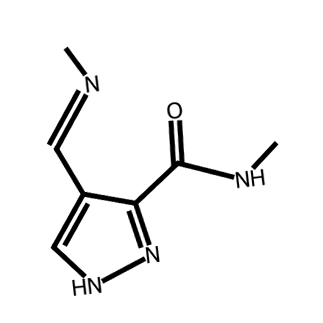 CN=Cc1c[nH]nc1C(=O)NC